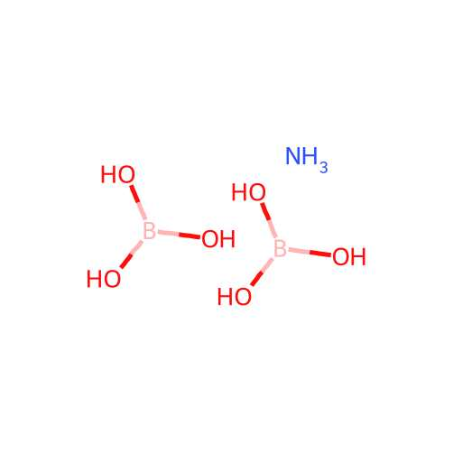 N.OB(O)O.OB(O)O